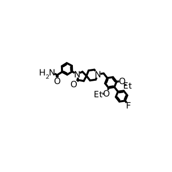 CCOc1cc(CN2CCC3(CC2)CC(=O)N(c2cccc(C(N)=O)c2)C3)cc(OCC)c1-c1ccc(F)cc1